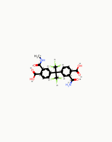 CNC(=O)c1cc(C(c2ccc(C(=O)O)c(C(N)=O)c2)(C(F)(F)F)C(F)(F)F)ccc1C(=O)O